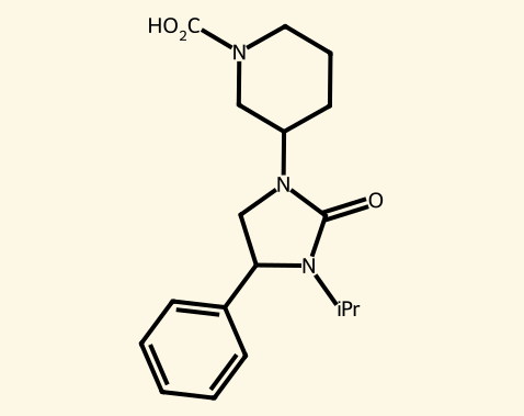 CC(C)N1C(=O)N(C2CCCN(C(=O)O)C2)CC1c1ccccc1